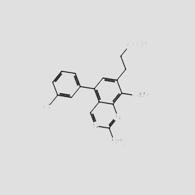 COc1c(CCC(=O)O)cc(-c2cccc(Cl)c2)c2cnc(N)nc12